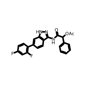 CC(=O)OC(C(=O)Nc1n[nH]c2cc(-c3ccc(F)cc3F)ccc12)c1ccccc1